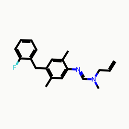 C=CCN(C)C=Nc1cc(C)c(Cc2ccccc2F)cc1C